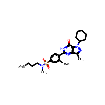 CNCCCN(C)S(=O)(=O)c1ccc(-c2nc3c(C)nn(C4CCCCC4)c3c(=O)[nH]2)c(OC)c1